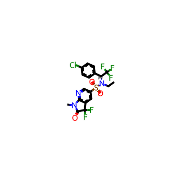 CCN([C@H](c1ccc(Cl)cc1)C(F)(F)F)S(=O)(=O)c1cnc2c(c1)C(F)(F)C(=O)N2C